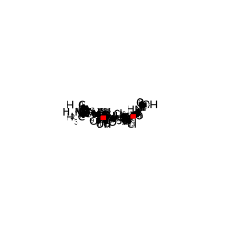 Cc1cc(SCC2=C(C(=O)O)N3C(=O)[C@H](NC(=O)CSc4cc(Cl)c(C=CC(=O)NCC(=O)O)cc4Cl)[C@H]3SC2)cc(C)[n+]1N